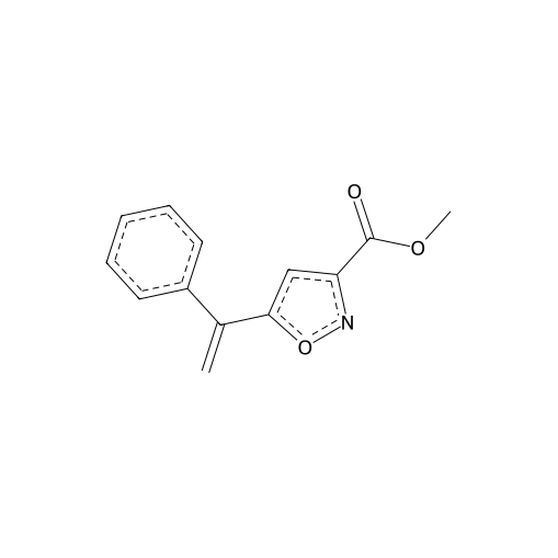 C=C(c1ccccc1)c1cc(C(=O)OC)no1